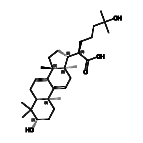 CC(C)(O)CCC[C@@H](C(=O)O)[C@H]1CC[C@@]2(C)C3=CCC4C(C)(C)[C@@H](O)CC[C@]4(C)C3=CC[C@]12C